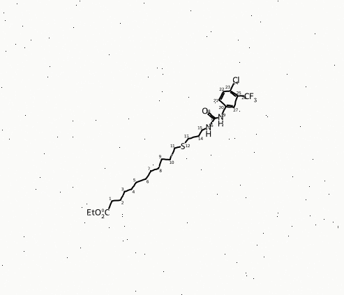 CCOC(=O)CCCCCCCCCCCSCCCNC(=O)Nc1ccc(Cl)c(C(F)(F)F)c1